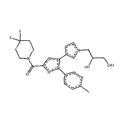 Cc1ccc(-n2nc(C(=O)N3CCC(F)(F)CC3)cc2-c2ccn(CC(O)CO)c2)cn1